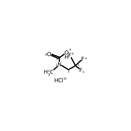 CN(CC(F)(F)F)C(=O)O.Cl